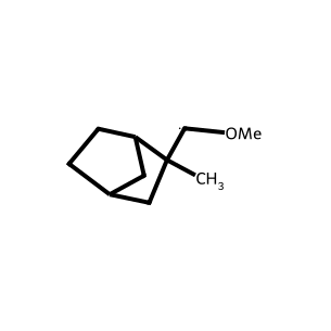 CO[CH]C1(C)CC2CCC1C2